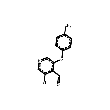 Cc1ccc(Sc2cncc(Cl)c2C=O)cc1